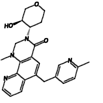 Cc1ccc(Cc2cc3c(c4ncccc24)N(C)CN([C@H]2CCOC[C@@H]2O)C3=O)cn1